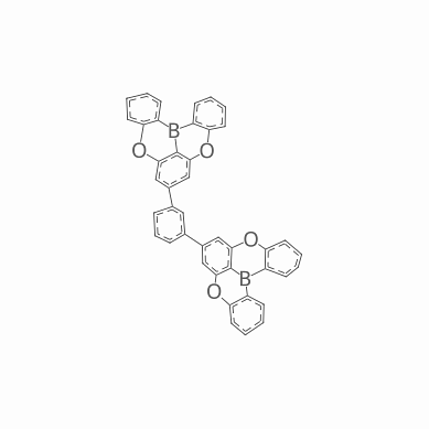 c1cc(-c2cc3c4c(c2)Oc2ccccc2B4c2ccccc2O3)cc(-c2cc3c4c(c2)Oc2ccccc2B4c2ccccc2O3)c1